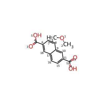 COC.O=C(O)c1ccc2cc(C(=O)O)ccc2c1